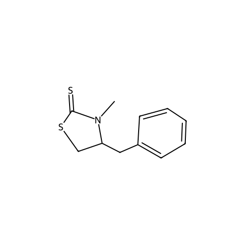 CN1C(=S)SCC1Cc1ccccc1